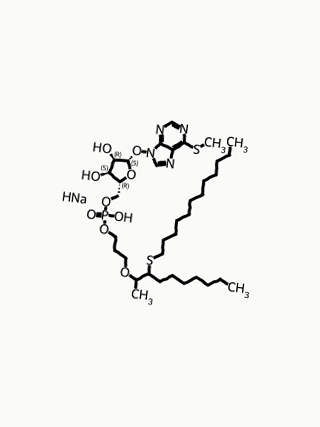 CCCCCCCCCCCCSC(CCCCCCC)C(C)OCCCOP(=O)(O)OC[C@H]1O[C@@H](On2cnc3c(SC)ncnc32)[C@H](O)[C@@H]1O.[NaH]